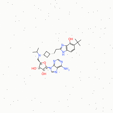 CC(C)N(C[C@H]1O[C@@H](n2cnc3c(N)ncnc32)[C@H](O)[C@@H]1O)[C@H]1C[C@@H](CCc2nc3c(O)c(C(C)(C)C)ccc3[nH]2)C1